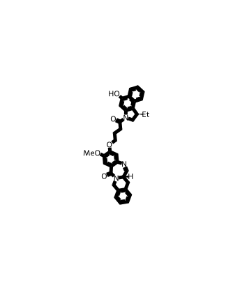 CC[C@@H]1CN(C(=O)CCCOc2cc3c(cc2OC)C(=O)N2Cc4ccccc4C[C@H]2C=N3)c2cc(O)c3ccccc3c21